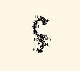 Cc1ncsc1-c1ccc([C@H](C)NC(=O)[C@@H]2C[C@@H](O)CN2C(=O)[C@@H](c2cc(OCCN3CCN(CCC(=O)NCc4ccc(CCOc5cc(-c6ccccc6O)nnc5N)cc4)CC3)no2)C(C)C)cc1